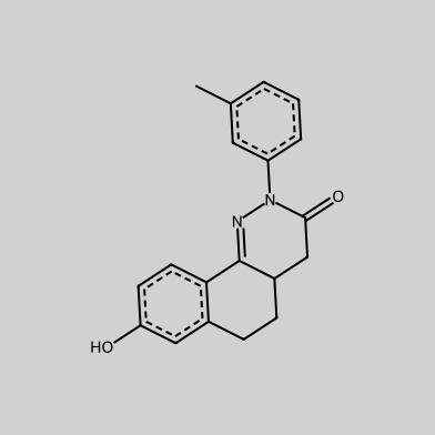 Cc1cccc(N2N=C3c4ccc(O)cc4CCC3CC2=O)c1